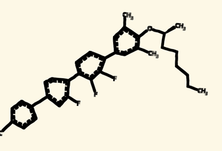 CCCCCC[C@H](C)Oc1c(C)cc(-c2ccc(-c3ccc(-c4ccc(C)cc4)cc3F)c(F)c2F)cc1C